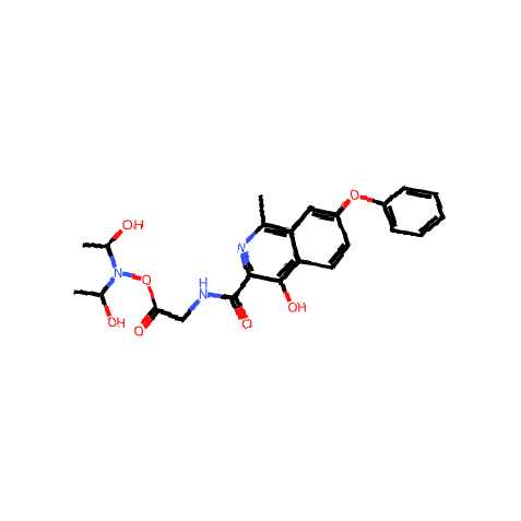 Cc1nc(C(=O)NCC(=O)ON(C(C)O)C(C)O)c(O)c2ccc(Oc3ccccc3)cc12